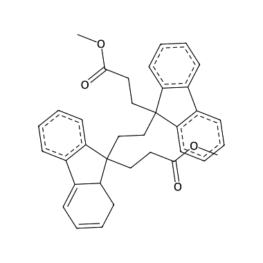 COC(=O)CCC1(CCC2(CCC(=O)OC)c3ccccc3C3=CC=CCC32)c2ccccc2-c2ccccc21